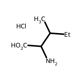 CCC(C)C(N)C(=O)O.Cl